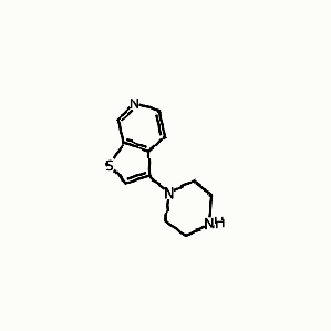 c1cc2c(N3CCNCC3)csc2cn1